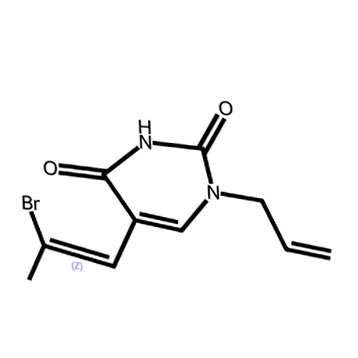 C=CCn1cc(/C=C(/C)Br)c(=O)[nH]c1=O